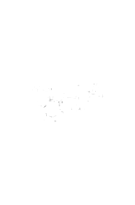 C[N+](C)(C)CC(O)Cc1ccccc1CF